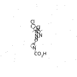 Cc1nn(C(C)c2ccc(Cl)cc2Cl)c2nc(N3CC([C@@H]4CCCN(CCC(=O)O)C4)C3)cnc12